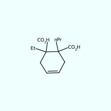 CCCC1(C(=O)O)CC=CCC1(CC)C(=O)O